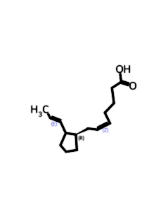 C/C=C/C1CCC[C@@H]1C/C=C\CCCC(=O)O